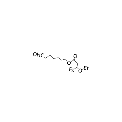 CCOC(CC)CC(=O)OCCCCCCC=O